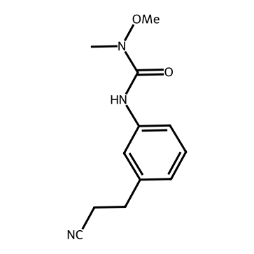 CON(C)C(=O)Nc1cccc(CCC#N)c1